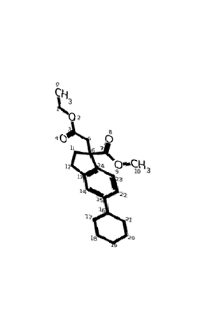 CCOC(=O)CC1(C(=O)OC)CCc2cc(C3CCCCC3)ccc21